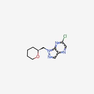 Clc1cnc2cnn(C[C@@H]3CCCCO3)c2n1